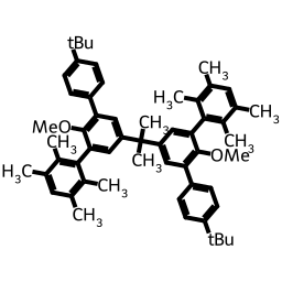 COc1c(-c2ccc(C(C)(C)C)cc2)cc(C(C)(C)c2cc(-c3ccc(C(C)(C)C)cc3)c(OC)c(-c3c(C)c(C)cc(C)c3C)c2)cc1-c1c(C)c(C)cc(C)c1C